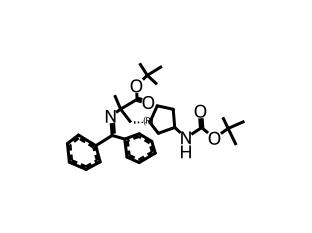 CC(C)(C)OC(=O)NC1CC[C@@H](CC(C)(N=C(c2ccccc2)c2ccccc2)C(=O)OC(C)(C)C)C1